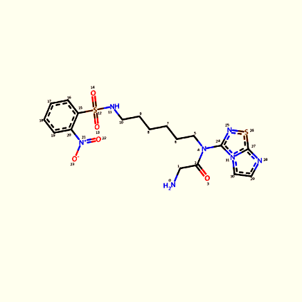 NCC(=O)N(CCCCCCNS(=O)(=O)c1ccccc1[N+](=O)[O-])c1nsc2nccn12